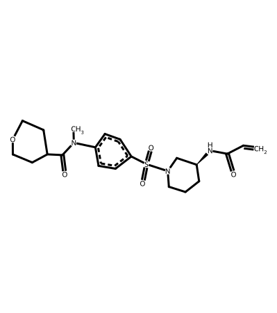 C=CC(=O)N[C@H]1CCCN(S(=O)(=O)c2ccc(N(C)C(=O)C3CCOCC3)cc2)C1